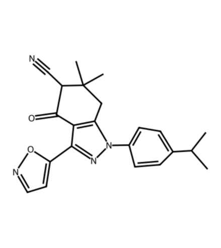 CC(C)c1ccc(-n2nc(-c3ccno3)c3c2CC(C)(C)C(C#N)C3=O)cc1